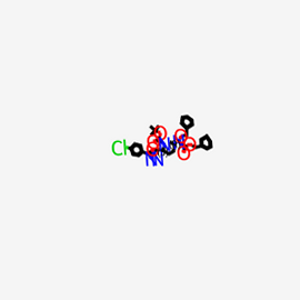 CC(C)(C)OC(=O)N1C[C@H](N(OCc2ccccc2)C(=O)OCc2ccccc2)CC[C@H]1c1nnc(-c2ccc(Cl)cc2)o1